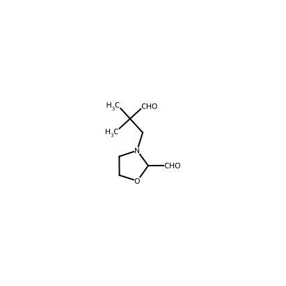 CC(C)(C=O)CN1CCOC1C=O